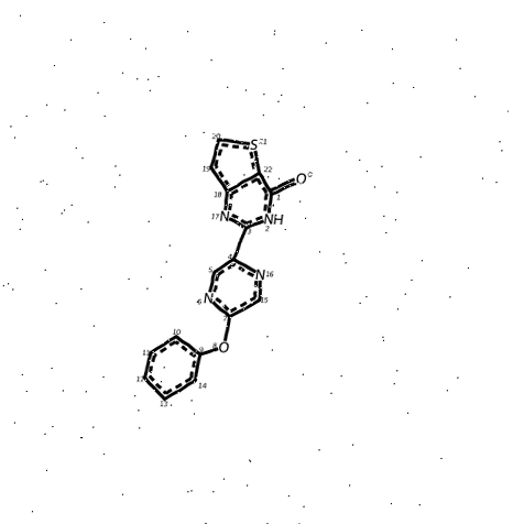 O=c1[nH]c(-c2cnc(Oc3ccccc3)cn2)nc2ccsc12